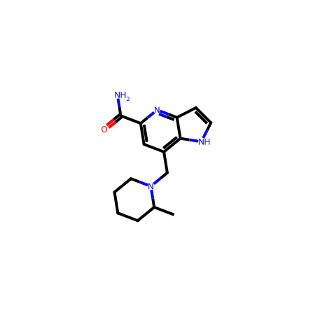 CC1CCCCN1Cc1cc(C(N)=O)nc2cc[nH]c12